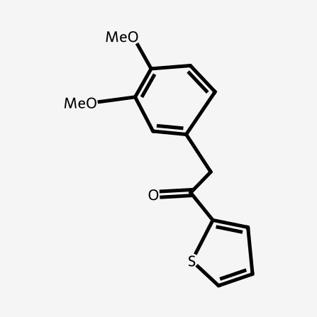 COc1ccc(CC(=O)c2cccs2)cc1OC